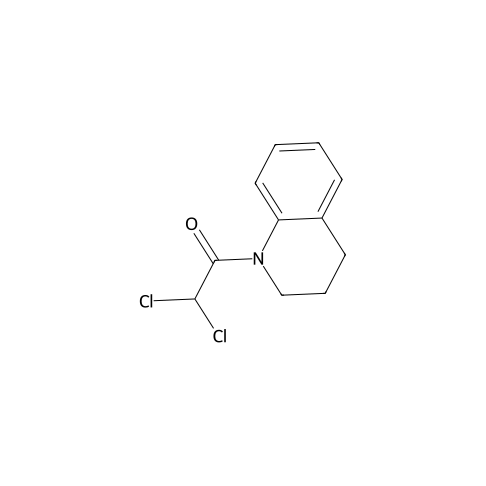 O=C(C(Cl)Cl)N1CCCc2ccccc21